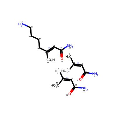 C/C(=C/C(N)=O)C(=O)O.C/C(=C/C(N)=O)C(=O)O.NCCCC/C(=C/C(N)=O)C(=O)O